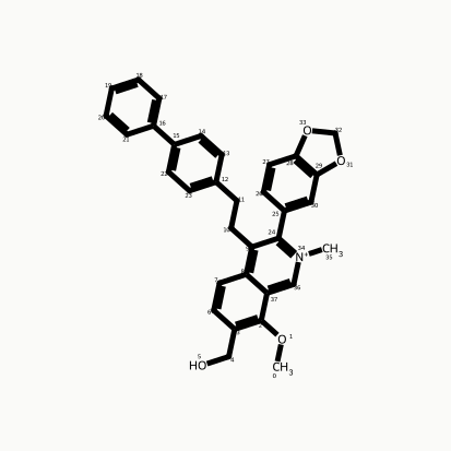 COc1c(CO)ccc2c(CCc3ccc(-c4ccccc4)cc3)c(-c3ccc4c(c3)OCO4)[n+](C)cc12